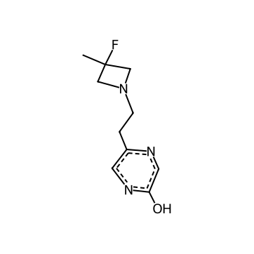 CC1(F)CN(CCc2cnc(O)cn2)C1